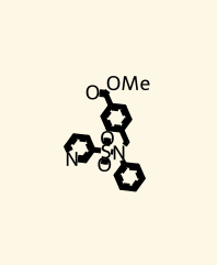 COC(=O)c1ccc(CN(c2ccccc2)S(=O)(=O)c2cccnc2)cc1